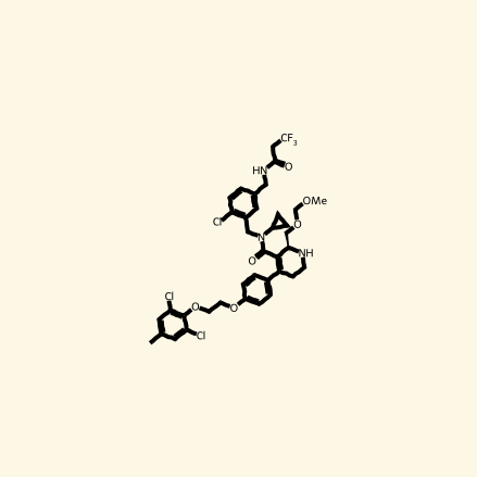 COCOC[C@H]1NCCC(c2ccc(OCCOc3c(Cl)cc(C)cc3Cl)cc2)=C1C(=O)N(Cc1cc(CNC(=O)CC(F)(F)F)ccc1Cl)C1CC1